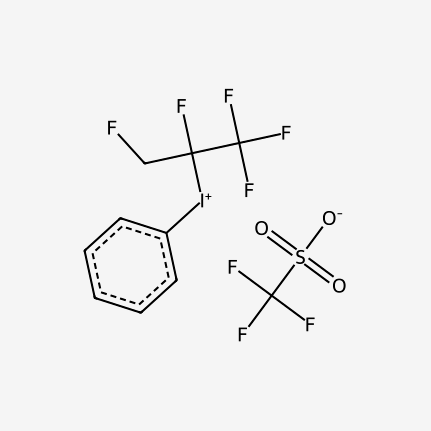 FCC(F)([I+]c1ccccc1)C(F)(F)F.O=S(=O)([O-])C(F)(F)F